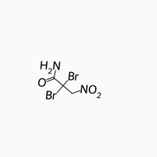 NC(=O)C(Br)(Br)C[N+](=O)[O-]